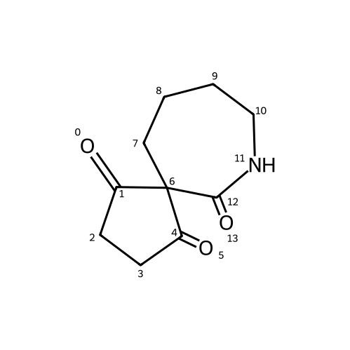 O=C1CCC(=O)C12CCCCNC2=O